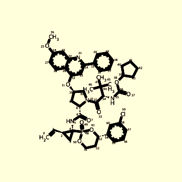 C=C[C@@H]1C[C@]1(NC(=O)[C@@H]1C[C@@H](Oc2cc(-c3ccccc3)nc3cc(OC)ccc23)CN1C(=O)[C@@H](NC(=O)OC1CCCC1)C(C)(C)C)P1(=O)OCC[C@@H](c2cccc(Cl)c2)O1